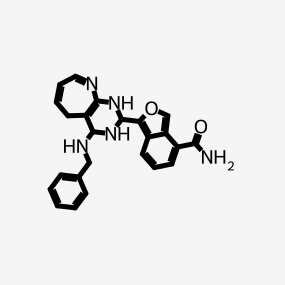 NC(=O)c1cccc2c(C3NC4=C(CC=CC=N4)C(NCc4ccccc4)N3)occ12